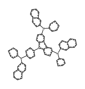 c1ccc(N(c2ccc(-n3c4ccc(N(c5ccccc5)c5ccc6ccccc6c5)cc4c4cc(N(c5ccccc5)c5ccc6ccccc6c5)ccc43)cc2)c2ccc3ccccc3c2)cc1